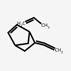 C=C=C1CC2C=CC1C2.C=CC